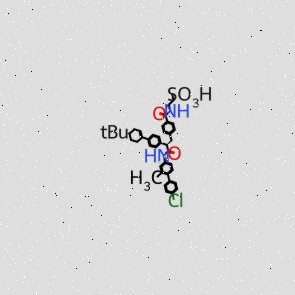 Cc1cc(NC(=O)[C@H](Cc2ccc(C(=O)NCCS(=O)(=O)O)cc2)c2ccc(C3=CC[C@H](C(C)(C)C)CC3)cc2)ccc1-c1ccc(Cl)cc1